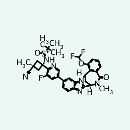 CN1C(=O)c2cccc(OC(F)F)c2[C@H]2C[C@@H]1c1nc3ccc(-c4cnc([C@]5(N[S+]([O-])C(C)(C)C)C[C@@](C)(C#N)C5)c(F)c4)cc3n12